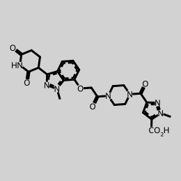 Cn1nc(C(=O)N2CCN(C(=O)COc3cccc4c(C5CCC(=O)NC5=O)nn(C)c34)CC2)cc1C(=O)O